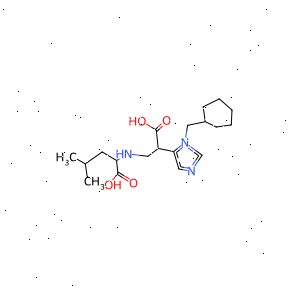 CC(C)CC(NCC(C(=O)O)c1cncn1CC1CCCCC1)C(=O)O